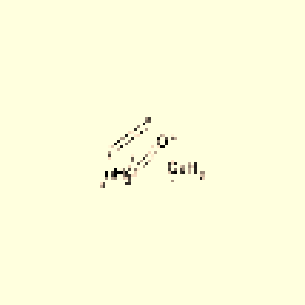 C=C.[GaH3].[InH3].[O]=[Zn]